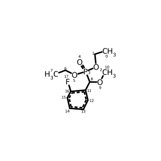 CCOP(=O)(OCC)C(OC)c1ccccc1F